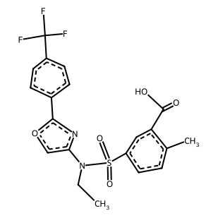 CCN(c1coc(-c2ccc(C(F)(F)F)cc2)n1)S(=O)(=O)c1ccc(C)c(C(=O)O)c1